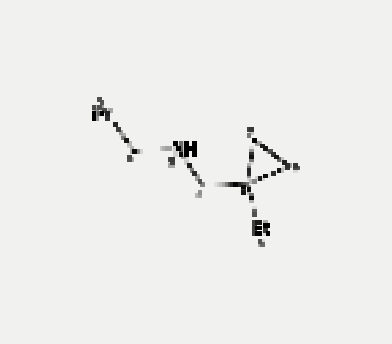 CCC1(CNCC(C)C)CC1